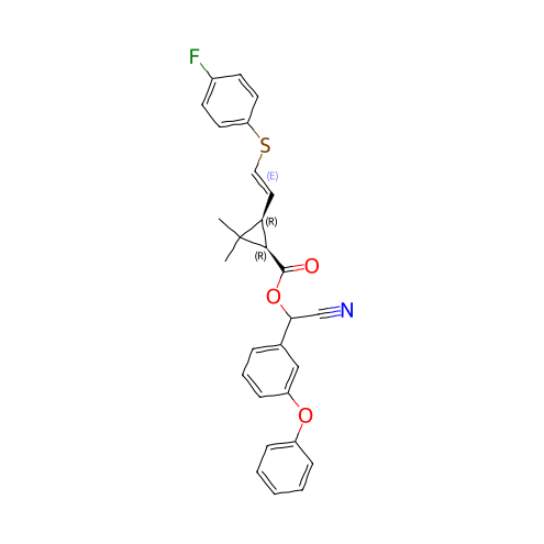 CC1(C)[C@H](C(=O)OC(C#N)c2cccc(Oc3ccccc3)c2)[C@@H]1/C=C/Sc1ccc(F)cc1